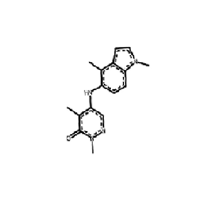 Cc1c(Nc2ccc3c(ccn3C)c2C)cnn(C)c1=O